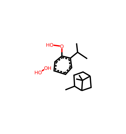 CC(C)c1ccccc1OO.CC1CCC2CC1C2(C)C.OO